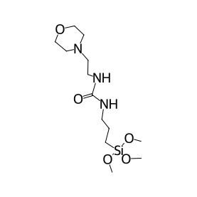 CO[Si](CCCNC(=O)NCCN1CCOCC1)(OC)OC